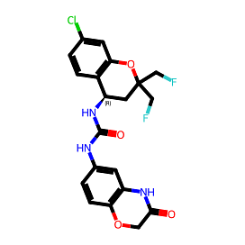 O=C1COc2ccc(NC(=O)N[C@@H]3CC(CF)(CF)Oc4cc(Cl)ccc43)cc2N1